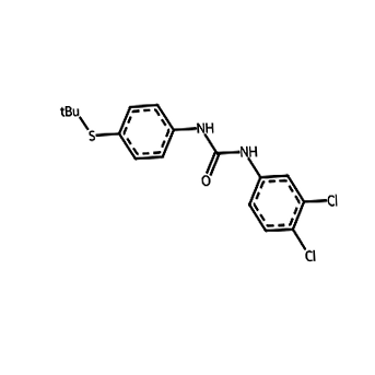 CC(C)(C)Sc1ccc(NC(=O)Nc2ccc(Cl)c(Cl)c2)cc1